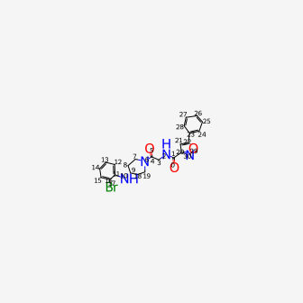 O=C(NCC(=O)N1CCC(Nc2ccccc2Br)CC1)c1cc(-c2ccccc2)on1